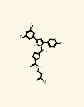 C[C@H](c1ccc(C(=O)NCCC(=O)O)s1)n1nc(-c2cc(Cl)cc(Cl)c2)cc1-c1ccc(F)cc1